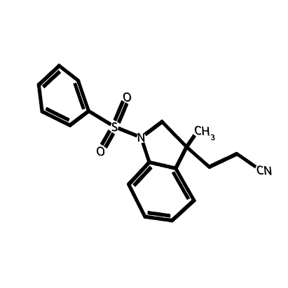 CC1(CCC#N)CN(S(=O)(=O)c2ccccc2)c2ccccc21